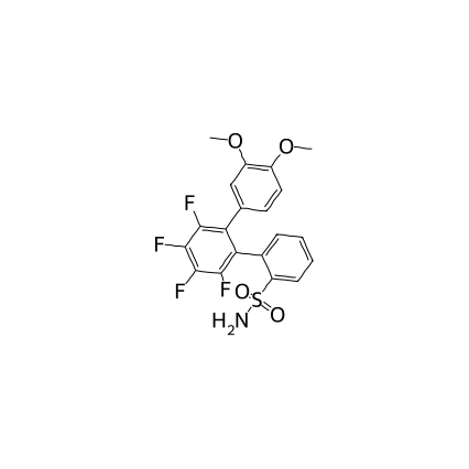 COc1ccc(-c2c(F)c(F)c(F)c(F)c2-c2ccccc2S(N)(=O)=O)cc1OC